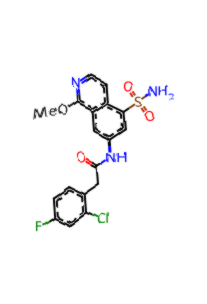 COc1nccc2c(S(N)(=O)=O)cc(NC(=O)Cc3ccc(F)cc3Cl)cc12